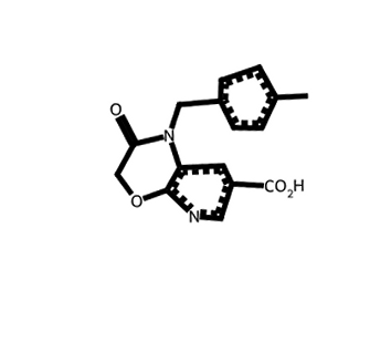 Cc1ccc(CN2C(=O)COc3ncc(C(=O)O)cc32)cc1